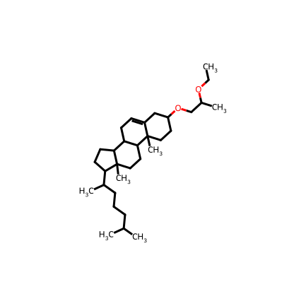 CCOC(C)COC1CCC2(C)C(=CCC3C2CCC2(C)C(C(C)CCCC(C)C)CCC32)C1